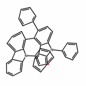 c1ccc(-c2ccc3c(c2-c2cccc4c5ccccc5n(-c5ccccc5)c24)c2ccccc2n3-c2ccccc2)cc1